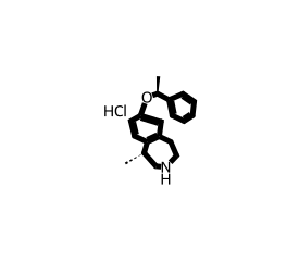 C[C@H](Oc1ccc2c(c1)CCNC[C@@H]2C)c1ccccc1.Cl